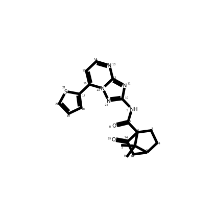 CC1(C)C2CCC1(C(=O)Nc1nc3nccc(-c4cccs4)n3n1)C(=O)C2